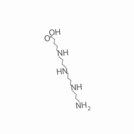 NCCCCNCCCCNCCCCNCCCCC(=O)O